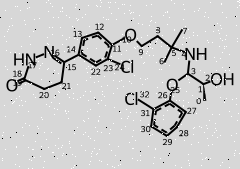 C[C@H](O)C(NC(C)(C)CCOc1ccc(C2=NNC(=O)CC2)cc1Cl)Oc1ccccc1Cl